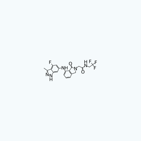 Cc1n[nH]c2cc(Nc3cccc4c3C(=O)N(CC(=O)NCC(F)(F)F)C4)cc(F)c12